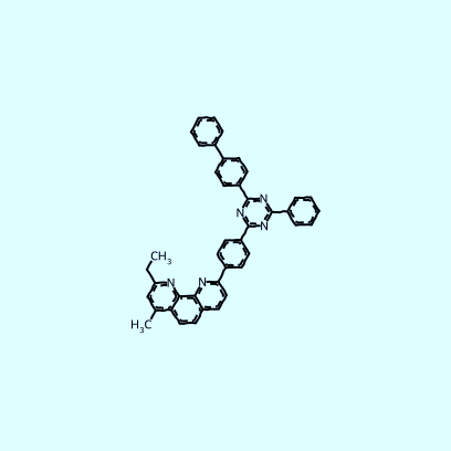 CCc1cc(C)c2ccc3ccc(-c4ccc(-c5nc(-c6ccccc6)nc(-c6ccc(-c7ccccc7)cc6)n5)cc4)nc3c2n1